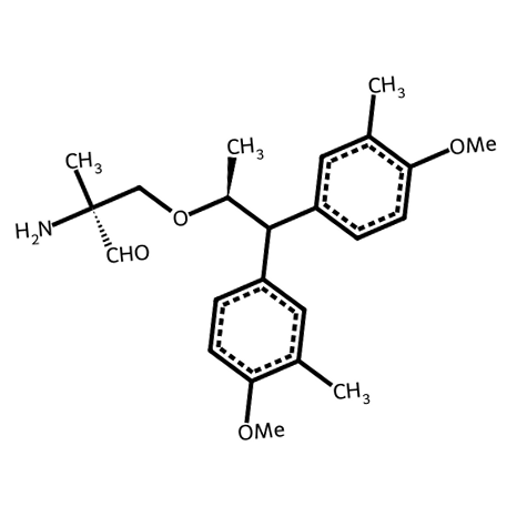 COc1ccc(C(c2ccc(OC)c(C)c2)[C@H](C)OC[C@](C)(N)C=O)cc1C